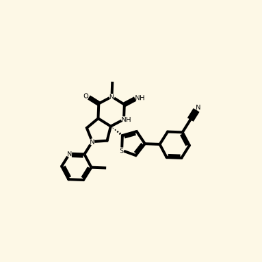 Cc1cccnc1N1CC2C(=O)N(C)C(=N)N[C@@]2(c2cc(C3C=CC=C(C#N)C3)cs2)C1